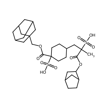 CC(CC1CCC(C(=O)OCC23CC4CC(CC(C4)C2)C3)(S(=O)(=O)O)CC1)(C(=O)OC1CC2CCC1C2)S(=O)(=O)O